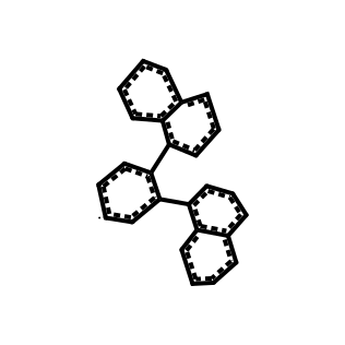 [c]1ccc(-c2cccc3ccccc23)c(-c2cccc3ccccc23)c1